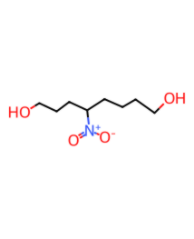 O=[N+]([O-])C(CCCO)CCCCO